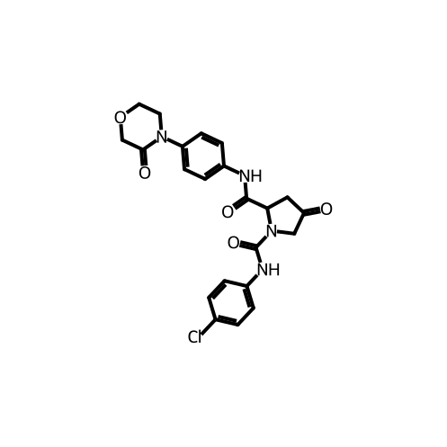 O=C1CC(C(=O)Nc2ccc(N3CCOCC3=O)cc2)N(C(=O)Nc2ccc(Cl)cc2)C1